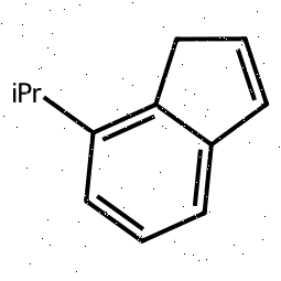 CC(C)c1cccc2c1CC=C2